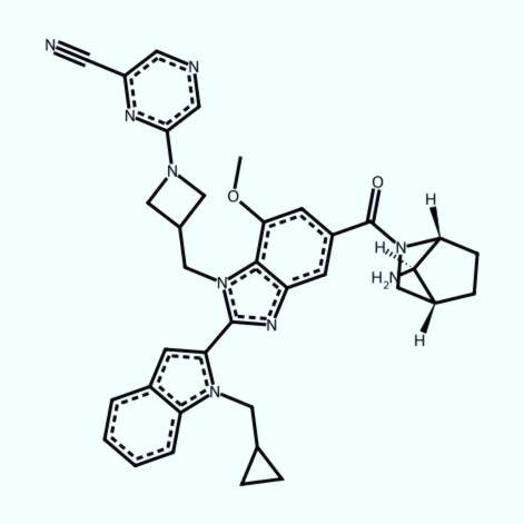 COc1cc(C(=O)N2C[C@H]3CC[C@@H]2[C@@H]3N)cc2nc(-c3cc4ccccc4n3CC3CC3)n(CC3CN(c4cncc(C#N)n4)C3)c12